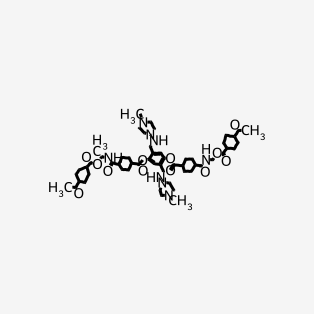 CC(=O)C1CCC(C(=O)OCNC(=O)C2CCC(C(=O)Oc3cc(CNN4CCN(C)CC4)c(OC(=O)C4CCC(C(=O)NC(C)OC(=O)C5CCC(C(C)=O)CC5)CC4)cc3CNN3CCN(C)CC3)CC2)CC1